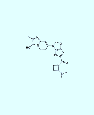 CN(C)C1CCN1C(=O)c1cc2c([nH]1)N(C1=CC3=NN(C)C(O)N3C=C1)CO2